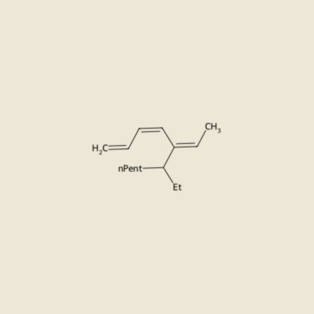 C=C/C=C\C(=C/C)C(CC)CCCCC